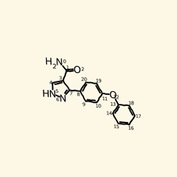 NC(=O)c1c[nH]nc1-c1ccc(Oc2ccccc2)cc1